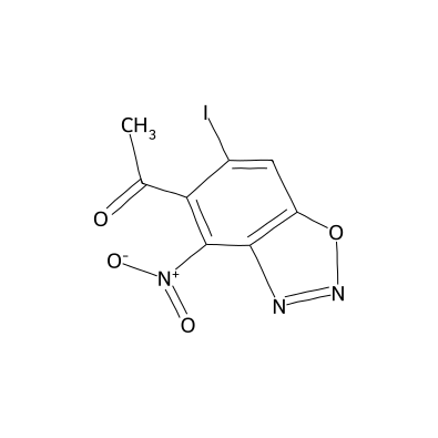 CC(=O)c1c(I)cc2onnc2c1[N+](=O)[O-]